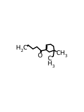 C=CCCC(=O)C1=CCCC(C)(CC)C1